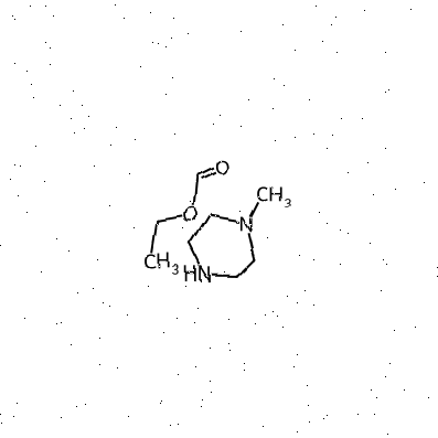 CCOC=O.CN1CCNCC1